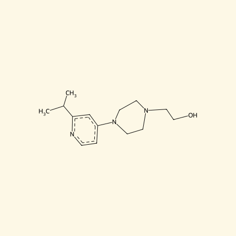 CC(C)c1cc(N2CCN(CCO)CC2)ccn1